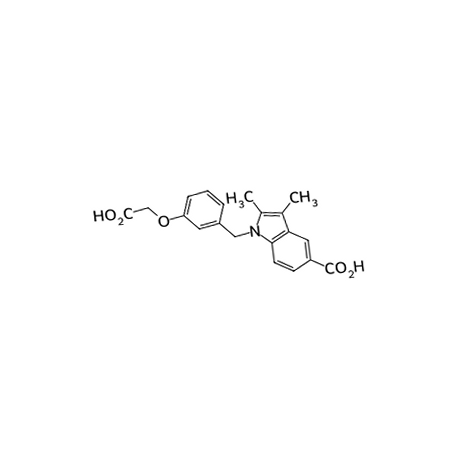 Cc1c(C)n(Cc2cccc(OCC(=O)O)c2)c2ccc(C(=O)O)cc12